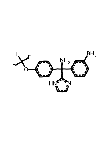 Bc1cccc(C(N)(c2ccc(OC(F)(F)F)cc2)c2ncc[nH]2)c1